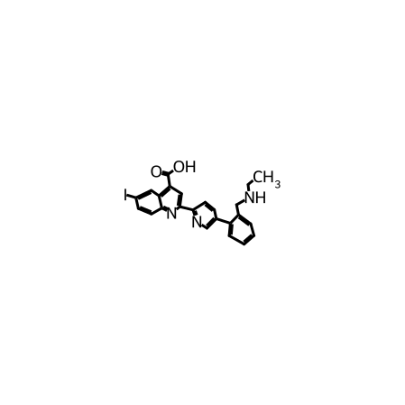 CCNCc1ccccc1-c1ccc(-c2cc(C(=O)O)c3cc(I)ccc3n2)nc1